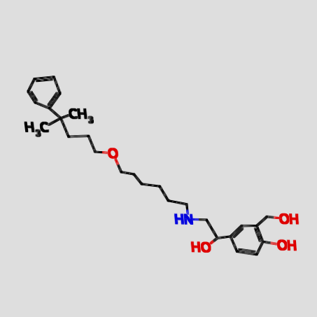 CC(C)(CCCOCCCCCCNCC(O)c1ccc(O)c(CO)c1)c1ccccc1